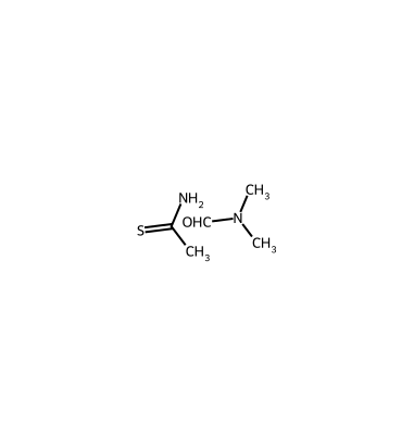 CC(N)=S.CN(C)C=O